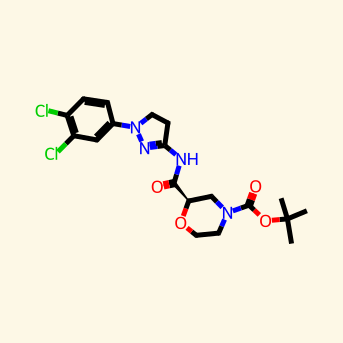 CC(C)(C)OC(=O)N1CCO[C@@H](C(=O)NC2=NN(c3ccc(Cl)c(Cl)c3)CC2)C1